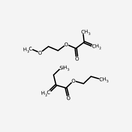 C=C(C)C(=O)OCCOC.C=C(C[SiH3])C(=O)OCCC